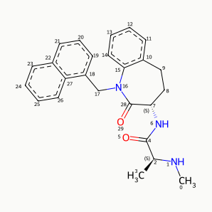 CN[C@@H](C)C(=O)N[C@H]1CCc2ccccc2N(Cc2cccc3ccccc23)C1=O